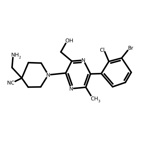 Cc1nc(N2CCC(C#N)(CN)CC2)c(CO)nc1-c1cccc(Br)c1Cl